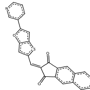 O=C1C(=Cc2cc3oc(-c4cccnc4)cc3s2)C(=O)c2cc3ccccc3cc21